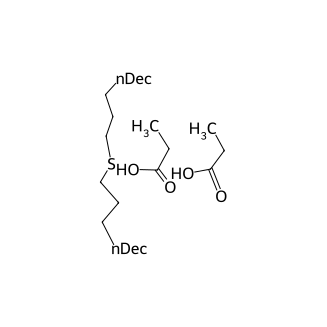 CCC(=O)O.CCC(=O)O.CCCCCCCCCCCCCSCCCCCCCCCCCCC